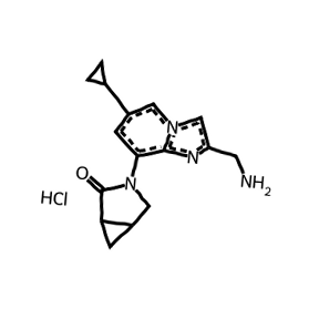 Cl.NCc1cn2cc(C3CC3)cc(N3CC4CC4C3=O)c2n1